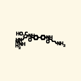 N=C(N)NCCC[C@H](NC(=O)c1ccc(-c2ccc(NC(=O)CCCCN)cc2)cc1)C(=O)O